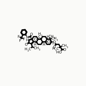 CC(C)C1=C2[C@H]3CC[C@@H]4[C@@]5(C)CC[C@H](OC(=O)CC(C)(C)C(=O)O)C(C)(C)[C@@H]5CC[C@@]4(C)[C@]3(C)CC[C@@]2(C(=O)Nc2ccccc2C(F)(F)F)CC1=O